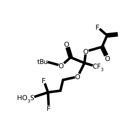 C=C(F)C(=O)OC(OCCC(F)(F)S(=O)(=O)O)(C(=O)OC(C)(C)C)C(F)(F)F